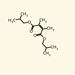 C/C(C(=O)OCC(C)C)=C(\C)C(=O)OCC(C)C